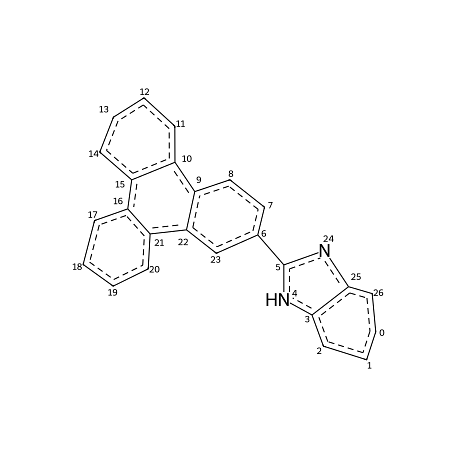 c1ccc2[nH]c(-c3ccc4c5ccccc5c5ccccc5c4c3)nc2c1